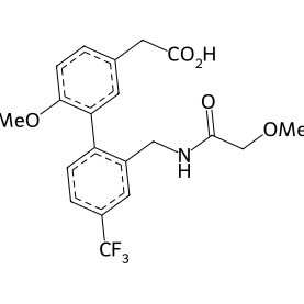 COCC(=O)NCc1cc(C(F)(F)F)ccc1-c1cc(CC(=O)O)ccc1OC